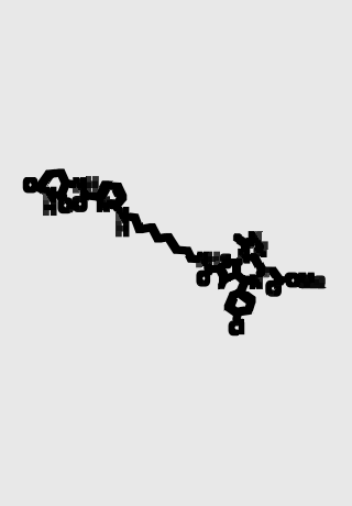 COC(=O)C[C@@H]1N=C(c2ccc(Cl)cc2)c2c(sc(C(=O)NCCCCCCCCNc3cccc(C(=O)NC4CCC(=O)NC4=O)n3)c2C)-n2c(C)nnc21